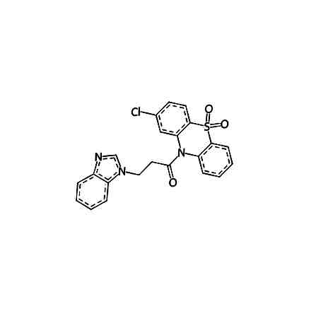 O=C(CCn1cnc2ccccc21)N1c2ccccc2S(=O)(=O)c2ccc(Cl)cc21